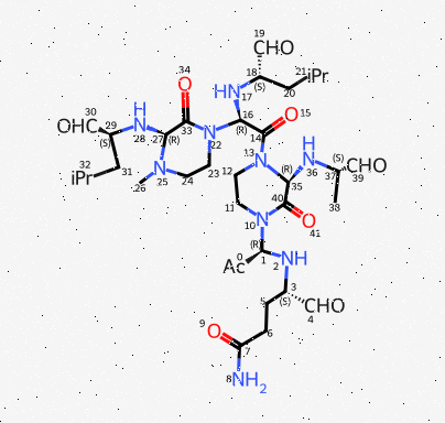 CC(=O)[C@H](N[C@H](C=O)CCC(N)=O)N1CCN(C(=O)[C@H](N[C@H](C=O)CC(C)C)N2CCN(C)[C@@H](N[C@H](C=O)CC(C)C)C2=O)[C@@H](N[C@@H](C)C=O)C1=O